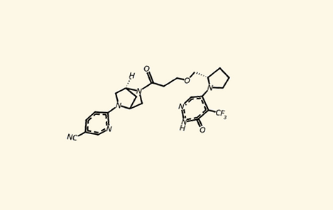 N#Cc1ccc(N2C[C@@H]3CC2CN3C(=O)CCOC[C@@H]2CCCN2c2cn[nH]c(=O)c2C(F)(F)F)nc1